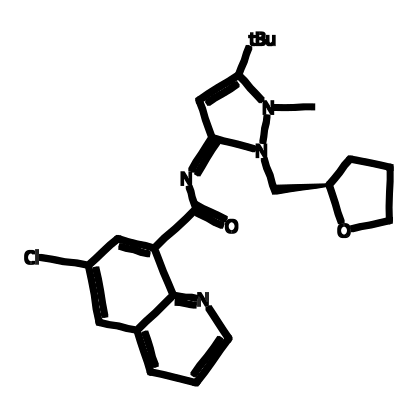 Cn1c(C(C)(C)C)cc(=NC(=O)c2cc(Cl)cc3cccnc23)n1C[C@H]1CCCO1